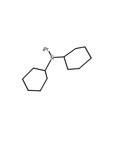 CC(C)[Si](C1CCCCC1)C1CCCCC1